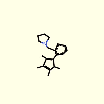 CC1=C(C)C(C)C(c2ccccc2CN2CCCC2)=C1C